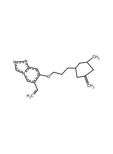 C=Cc1cn2cnnc2cc1OCCCC1CC(=C)CC(C)C1